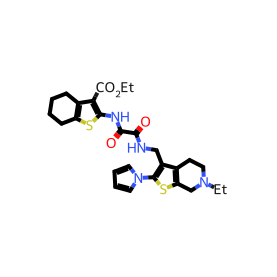 CCOC(=O)c1c(NC(=O)C(=O)NCc2c(-n3cccc3)sc3c2CCN(CC)C3)sc2c1CCCC2